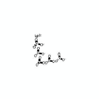 [La+3].[O]=[V](=[O])[O-].[O]=[V](=[O])[O-].[O]=[V](=[O])[O-].[O]=[V](=[O])[O-].[O]=[V](=[O])[O-].[Sr+2]